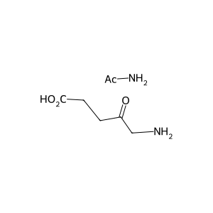 CC(N)=O.NCC(=O)CCC(=O)O